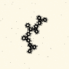 c1ccc(-c2nc(-c3ccc(-n4c5ccccc5c5cc(-c6ccc7c(c6)c6ccccc6n7-c6ccccc6)ccc54)cc3)cc(-n3c4ccccc4c4cc(-c5ccc6c(c5)c5ccccc5n6-c5ccccc5)ccc43)n2)cc1